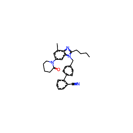 CCCCc1nc2c(C)cc(N3CCCCC3=O)cc2n1Cc1ccc(-c2ccccc2C#N)cc1